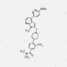 CNc1ccc(-c2ccnc3c2cc(CN2CC=C(c4ccc(C(=O)N(C)C)cc4C)CC2)n3C)nn1